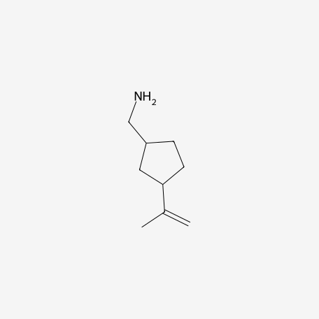 C=C(C)C1CCC(CN)C1